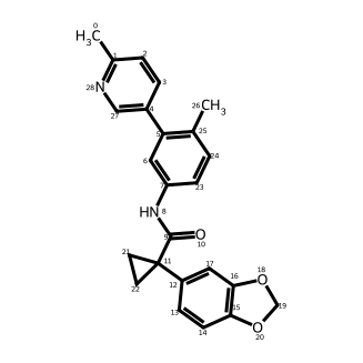 Cc1ccc(-c2cc(NC(=O)C3(c4ccc5c(c4)OCO5)CC3)ccc2C)cn1